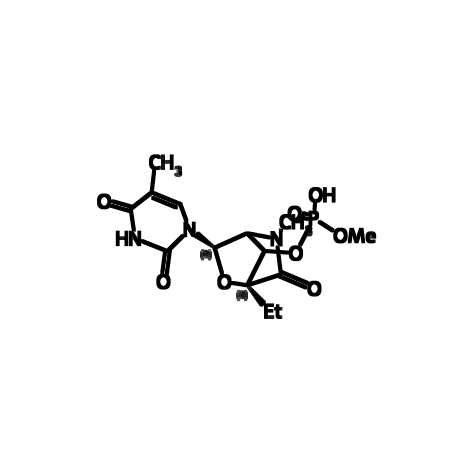 CC[C@@]12O[C@@H](n3cc(C)c(=O)[nH]c3=O)C(C1OP(=O)(O)OC)N(C)C2=O